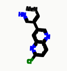 CN/C=C(\C=N)c1cnc2ccc(Cl)nc2c1